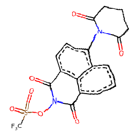 O=C1c2cccc3c(N4C(=O)CCCC4=O)ccc(c23)C(=O)N1OS(=O)(=O)C(F)(F)F